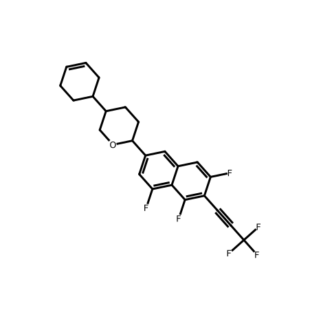 Fc1cc2cc(C3CCC(C4CC=CCC4)CO3)cc(F)c2c(F)c1C#CC(F)(F)F